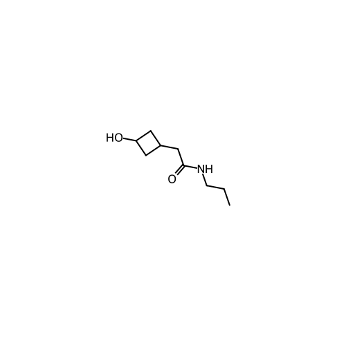 CCCNC(=O)CC1CC(O)C1